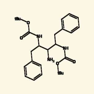 CC(C)(C)OC(=O)NC(Cc1ccccc1)C(N)C(Cc1ccccc1)NC(=O)OC(C)(C)C